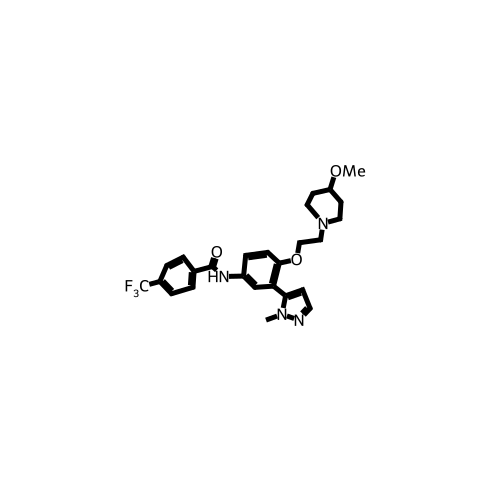 COC1CCN(CCOc2ccc(NC(=O)c3ccc(C(F)(F)F)cc3)cc2-c2ccnn2C)CC1